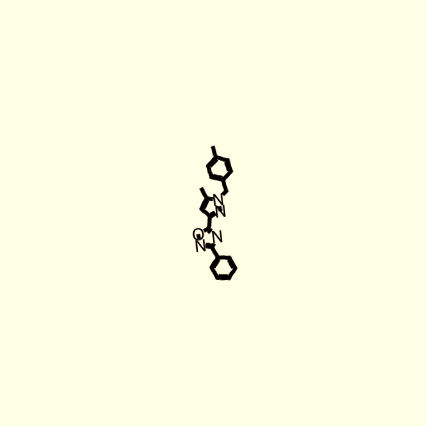 Cc1ccc(Cn2nc(-c3nc(-c4ccccc4)no3)cc2C)cc1